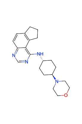 c1nc(N[C@H]2CC[C@H](N3CCOCC3)CC2)c2c3c(ccc2n1)CCC3